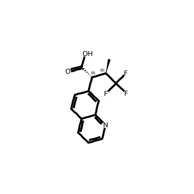 C[C@H]([C@@H](C(=O)O)c1ccc2cccnc2c1)C(F)(F)F